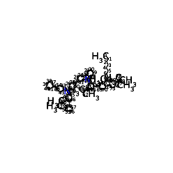 CCCCCCCCC1(C)c2cc(-c3cc(-n4c5ccccc5c5ccc(-c6ccc(N(c7ccc(-c8ccccc8)cc7)c7ccc8c(c7)C(C)(C)c7ccccc7-8)cc6)cc54)c4c(c3)C4(C)C)ccc2-c2ccc(C(C)(C)C)cc21